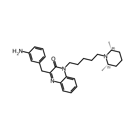 C[C@@H]1CCC[C@H](C)N1CCCCCn1c(=O)c(Cc2cccc(N)c2)nc2ccccc21